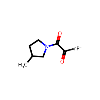 CCCC(=O)C(=O)N1CCC(C)C1